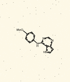 COc1ccc(Nc2ncnc3cc[nH]c23)cc1